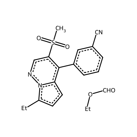 CCOC=O.CCc1ccc2c(-c3cccc(C#N)c3)c(S(C)(=O)=O)cnn12